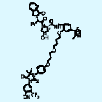 Cc1ncsc1-c1ccc(CNC(=O)[C@@H]2C[C@@H](O)CN2C(=O)C(C(C)C)N2Cc3ccccc3C2=O)c(OCCCCOCCCOc2ccc(N3C(=S)N(c4ccc(C#N)c(C(F)(F)F)c4)C(=O)C3(C)C)cc2)c1